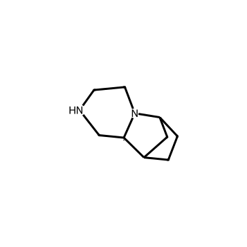 C1CN2[C](CN1)C1CCC2C1